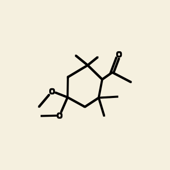 COC1(OC)CC(C)(C)C(C(C)=O)C(C)(C)C1